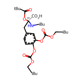 CCC(C)COC(=O)Oc1ccc(C[C@](NC(C)CC)(OC(=O)C(C)(C)C)C(=O)O)cc1OC(=O)OCC(C)CC